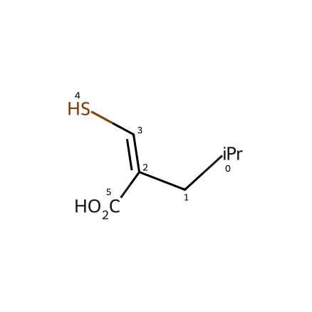 CC(C)CC(=CS)C(=O)O